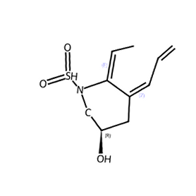 C=C/C=C1/C[C@@H](O)CN([SH](=O)=O)/C1=C/C